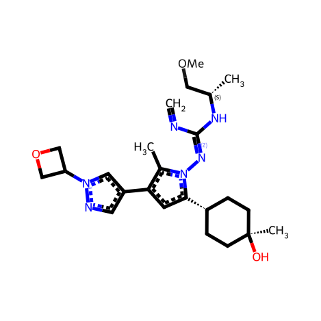 C=N/C(=N\n1c(C)c(-c2cnn(C3COC3)c2)cc1[C@H]1CC[C@](C)(O)CC1)N[C@@H](C)COC